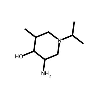 CC1CN(C(C)C)CC(N)C1O